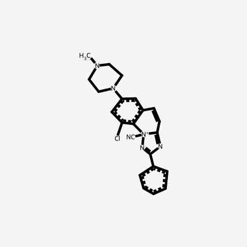 CN1CCN(c2cc(Cl)c3c(c2)C=CC2=NC(c4ccccc4)=N[N+]23C#N)CC1